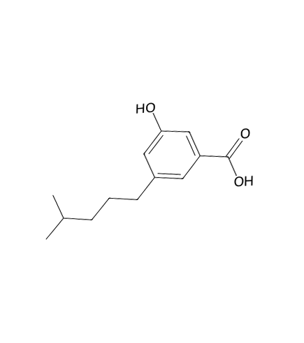 CC(C)CCCc1cc(O)cc(C(=O)O)c1